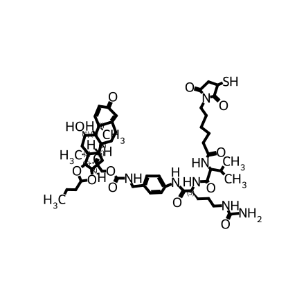 CCCC1O[C@@H]2C[C@H]3[C@@H]4CCC5=CC(=O)C=C[C@]5(C)[C@H]4[C@@H](O)C[C@]3(C)[C@]2(C(=O)COC(=O)NCc2ccc(NC(=O)[C@H](CCCNC(N)=O)NC(=O)C(NC(=O)CCCCCN3C(=O)CC(S)C3=O)C(C)C)cc2)O1